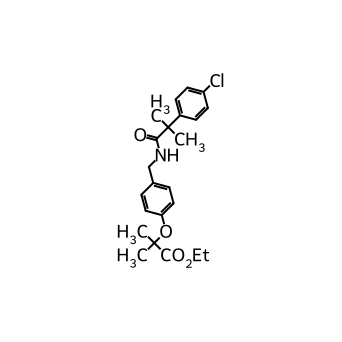 CCOC(=O)C(C)(C)Oc1ccc(CNC(=O)C(C)(C)c2ccc(Cl)cc2)cc1